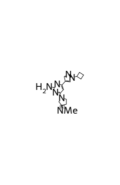 CN[C@@H]1CCN(c2cc(-c3cnn(C4CCC4)c3)nc(N)n2)C1